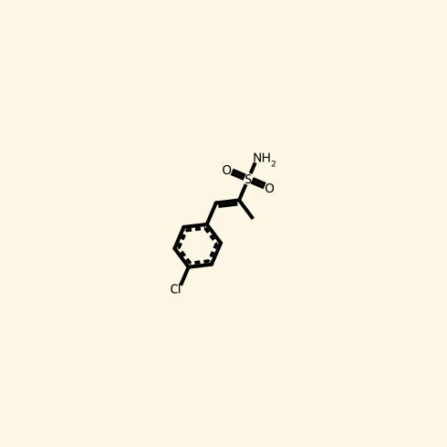 C/C(=C\c1ccc(Cl)cc1)S(N)(=O)=O